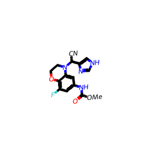 COC(=O)Nc1cc(F)c2c(c1)N(C(C#N)c1c[nH]cn1)CCO2